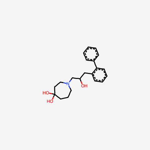 OC(Cc1ccccc1-c1ccccc1)CN1CCCC(O)(O)CC1